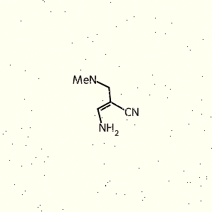 CNCC(C#N)=CN